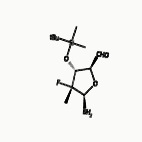 B[C@@H]1O[C@H](C=O)[C@@H](O[Si](C)(C)C(C)(C)C)[C@@]1(C)F